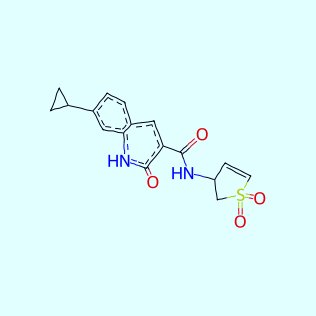 O=C(NC1C=CS(=O)(=O)C1)c1cc2ccc(C3CC3)cc2[nH]c1=O